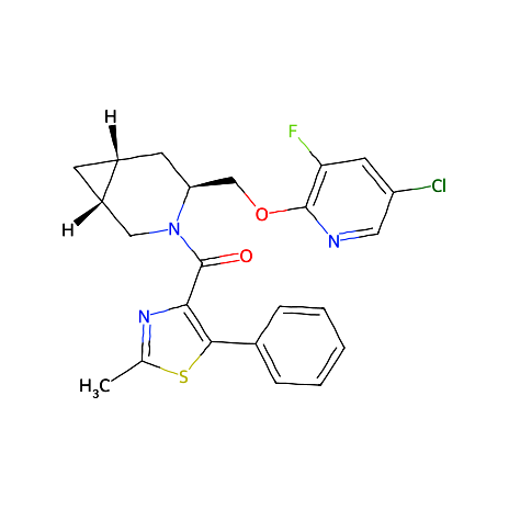 Cc1nc(C(=O)N2C[C@@H]3C[C@@H]3C[C@H]2COc2ncc(Cl)cc2F)c(-c2ccccc2)s1